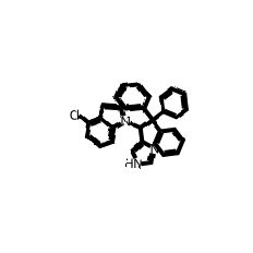 Clc1cccc2c1ccn2C(c1c[nH]cn1)C(c1ccccc1)(c1ccccc1)c1ccccc1